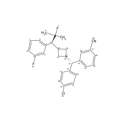 CC(C)(F)[C@H](c1cccc(F)c1)C1CN([C@@H](c2ccc(Cl)cc2)c2cccc(C#N)c2)C1